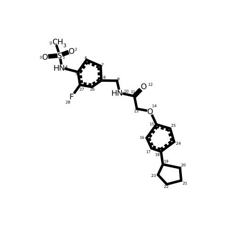 CS(=O)(=O)Nc1ccc(CNC(=O)COc2ccc(C3CCCC3)cc2)cc1F